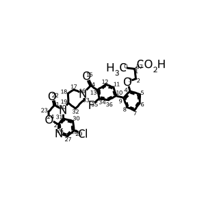 C[C@@H](COc1ccccc1-c1ccc(C(=O)N2CCC(N3C(=O)COc4ncc(Cl)cc43)CC2)c(F)c1)C(=O)O